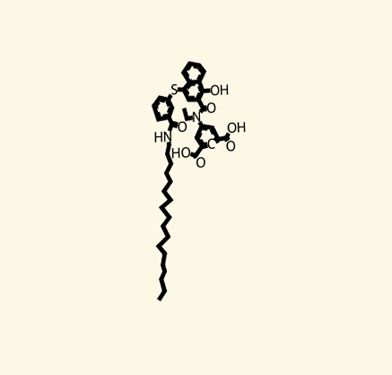 CCCCCCCCCCCCCCCCCCNC(=O)c1cccc(Sc2cc(C(=O)N(CC)c3cc(C(=O)O)cc(C(=O)O)c3)c(O)c3ccccc23)c1